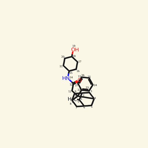 CC1C2CC3CC1CC(C2)C3(CC(=O)NC1CCC(O)CC1)c1ccccc1